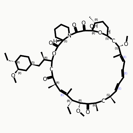 CC[C@@H]1CC[C@@H](C[C@@H](C)C2CC(=O)[C@H](C)/C=C(\C)[C@@H](CC)[C@@H](OC)C(=O)[C@H](C)C[C@H](C)/C=C/C=C/C=C(\C)[C@@H](OC)C[C@@H]3CC[C@@H](C)[C@@](O)(O3)C(=O)C(=O)N3CCCC[C@H]3C(=O)O2)C[C@H]1OC